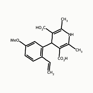 C=Cc1ccc(OC)cc1C1C(C(=O)O)=C(C)NC(C)=C1C(=O)O